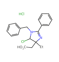 CCC1(CC(=O)O)N=C(c2ccccc2)N(Cc2ccccc2)C1Cl.Cl